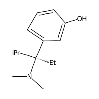 CC[C@@](c1cccc(O)c1)(C(C)C)N(C)C